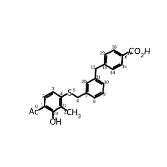 CC(=O)c1ccc(SCc2cccc(Cc3ccc(C(=O)O)cc3)c2)c(C)c1O